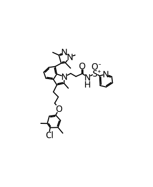 Cc1cc(OCCCc2c(C)n(CCC(=O)N[S+]([O-])c3ccccn3)c3c(-c4c(C)nn(C)c4C)cccc23)cc(C)c1Cl